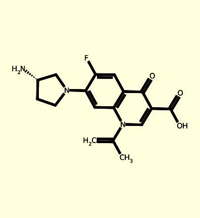 C=C(C)n1cc(C(=O)O)c(=O)c2cc(F)c(N3CC[C@H](N)C3)cc21